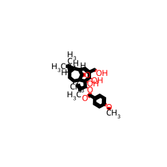 COc1ccc(C(=O)O[C@H]2C(C)=C[C@]34C(=O)[C@@H](C=C(CO)[C@@H](O)[C@]23O)[C@H]2[C@@H](C[C@H]4C)C2(C)C)cc1